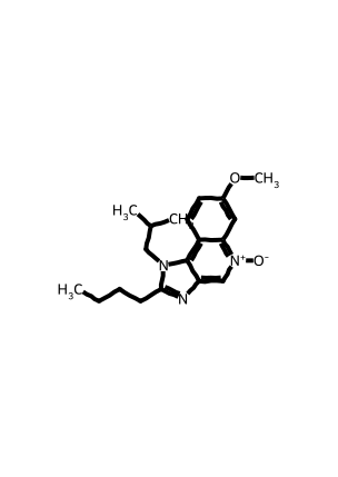 CCCCc1nc2c[n+]([O-])c3cc(OC)ccc3c2n1CC(C)C